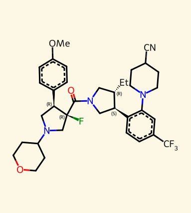 CC[C@H]1CN(C(=O)[C@]2(F)CN(C3CCOCC3)C[C@H]2c2ccc(OC)cc2)C[C@@H]1c1ccc(C(F)(F)F)cc1N1CCC(C#N)CC1